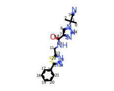 CC(C)(C#N)n1cc(C(=O)NCc2nnc(-c3ccccc3)s2)nn1